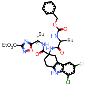 CCOC(=O)c1noc([C@@H](NC(=O)C2(NC(=O)C(NC(=O)OCc3ccccc3)C(C)CC)CCc3[nH]c4c(Cl)cc(Cl)cc4c3C2)C(C)CC)n1